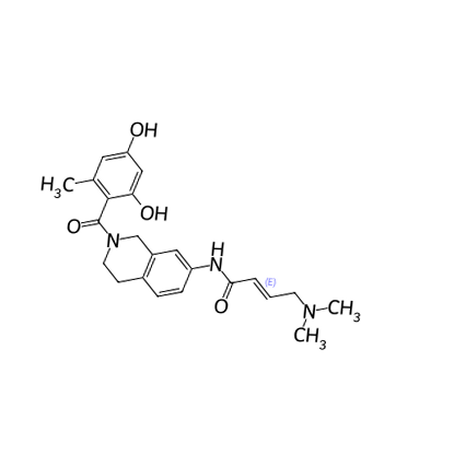 Cc1cc(O)cc(O)c1C(=O)N1CCc2ccc(NC(=O)/C=C/CN(C)C)cc2C1